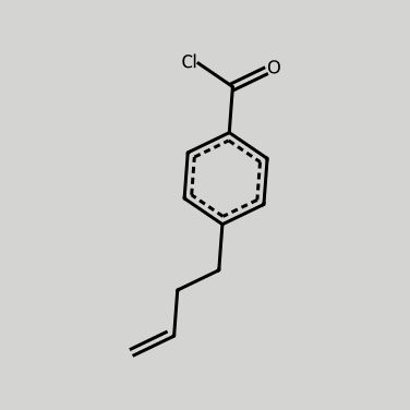 C=CCCc1ccc(C(=O)Cl)cc1